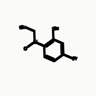 CC(C)c1ccc([S+]([O-])CC(C)(C)C)c(C(C)(C)C)c1